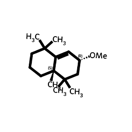 CO[C@H]1C=C2C(C)(C)CCC[C@@]2(C)C(C)(C)C1